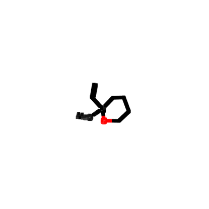 C=C[Si]1(OC)CCCCO1